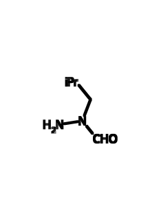 CC(C)CN(N)C=O